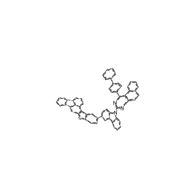 c1ccc(-c2ccc(-c3nc(-n4c5ccccc5c5cc(-c6ccc7sc8cc9c%10c(cccc%10c8c7c6)-c6ccccc6-9)ccc54)nc4ccc5ccccc5c34)cc2)cc1